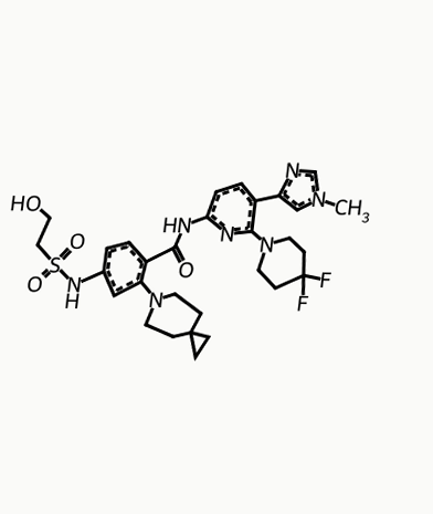 Cn1cnc(-c2ccc(NC(=O)c3ccc(NS(=O)(=O)CCO)cc3N3CCC4(CC3)CC4)nc2N2CCC(F)(F)CC2)c1